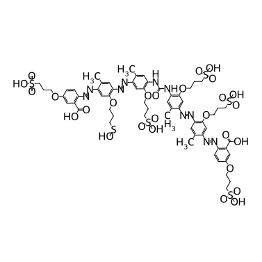 Cc1cc(NC(=O)Nc2cc(C)c(N=Nc3cc(C)c(N=Nc4ccc(OCCCS(=O)(=O)O)cc4C(=O)O)cc3OCCCS(=O)(=O)O)cc2OCCCS(=O)(=O)O)c(OCCCS(=O)(=O)O)cc1N=Nc1cc(C)c(N=Nc2ccc(OCCCS(=O)(=O)O)cc2C(=O)O)cc1OCCCSO